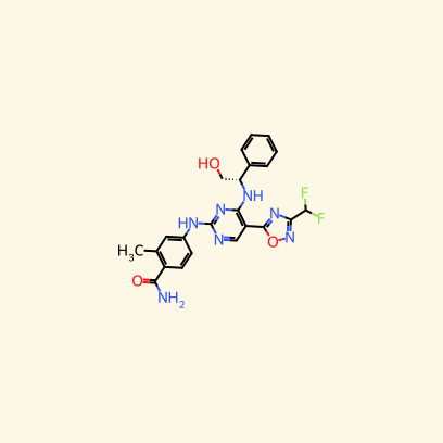 Cc1cc(Nc2ncc(-c3nc(C(F)F)no3)c(N[C@H](CO)c3ccccc3)n2)ccc1C(N)=O